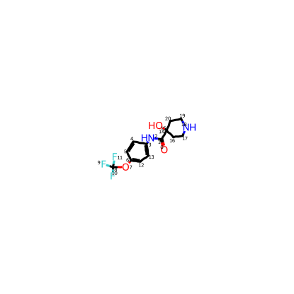 O=C(Nc1ccc(OC(F)(F)F)cc1)C1(O)CCNCC1